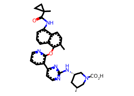 Cc1ccc2c(NC(=O)C3(C)CC3)cccc2c1Oc1ncccc1-c1ccnc(N[C@H]2C[C@@H](C)CN(C(=O)O)C2)n1